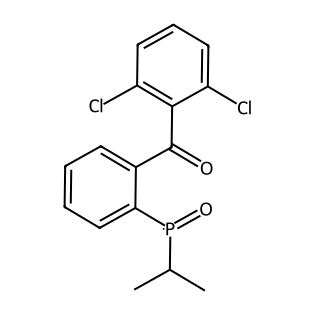 CC(C)[P](=O)c1ccccc1C(=O)c1c(Cl)cccc1Cl